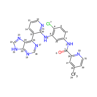 O=C(Nc1ccc(Cl)c(Nc2ncccc2-c2ncnc3[nH]cnc23)c1)c1cc(C(F)(F)F)ccn1